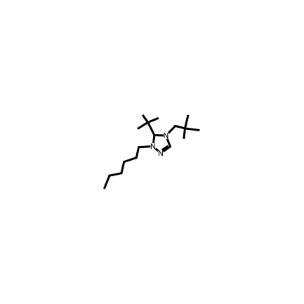 CCCCCCN1N=CN(CC(C)(C)C)C1C(C)(C)C